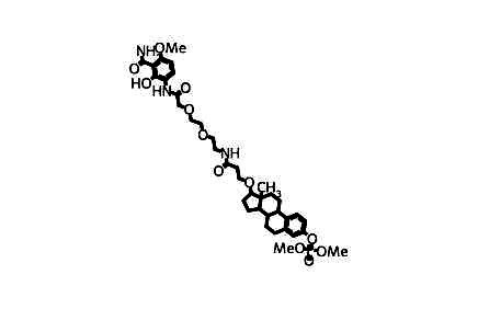 COc1ccc(NC(=O)COCCOCCNC(=O)CCOC2CCC3C4CCc5cc(OP(=O)(OC)OC)ccc5C4CCC23C)c(O)c1C(N)=O